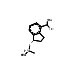 C[SiH](O[C@H]1CCc2c(C(O)C(C)(C)C)cccc21)C(C)(C)C